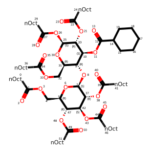 CCCCCCCCC(=O)OC[C@H]1O[C@@H](O[C@H]2[C@H](OC(=O)C3CCCCC3)[C@@H](OC(=O)CCCCCCCC)[C@H](OC(=O)CCCCCCCC)O[C@@H]2COC(=O)CCCCCCCC)[C@H](OC(=O)CCCCCCCC)[C@@H](OC(=O)CCCCCCCC)[C@@H]1OC(=O)CCCCCCCC